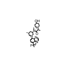 CC(C(=O)N(I)[C@@H]1C[C@H](C)CN(c2ccc(C(C)(F)F)c3nccnc23)C1)N1CCC(O)CC1